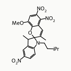 COc1cc([N+](=O)[O-])c([N+](=O)[O-])c2c1OC1(C(C)=C2)C(C)c2cc([N+](=O)[O-])ccc2N1CCC(C)C